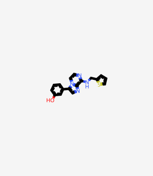 Oc1cccc(-c2cnc3c(NCc4cccs4)nccn23)c1